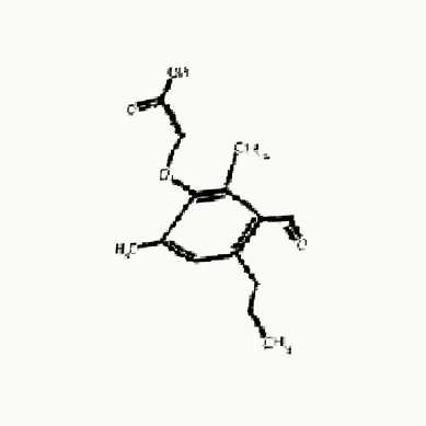 CCCc1cc(C)c(OCC(=O)O)c(C)c1C=O